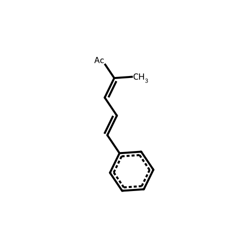 CC(=O)C(C)=CC=Cc1ccccc1